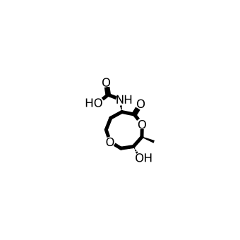 C[C@@H]1OC(=O)[C@@H](NC(=O)O)CCOC[C@H]1O